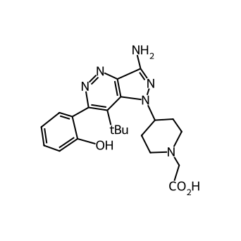 CC(C)(C)c1c(-c2ccccc2O)nnc2c(N)nn(C3CCN(CC(=O)O)CC3)c12